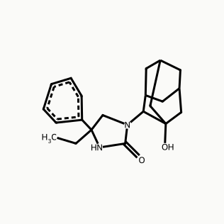 CCC1(c2ccccc2)CN(C2C3CC4CC(C3)CC2(O)C4)C(=O)N1